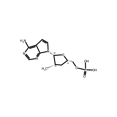 C[C@H]1C[C@@H](COP(=O)(O)O)O[C@H]1n1ccc2c(N)ncnc21